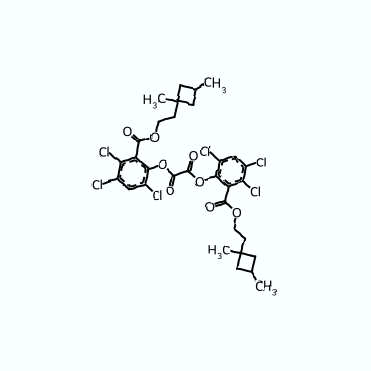 CC1CC(C)(CCOC(=O)c2c(Cl)c(Cl)cc(Cl)c2OC(=O)C(=O)Oc2c(Cl)cc(Cl)c(Cl)c2C(=O)OCCC2(C)CC(C)C2)C1